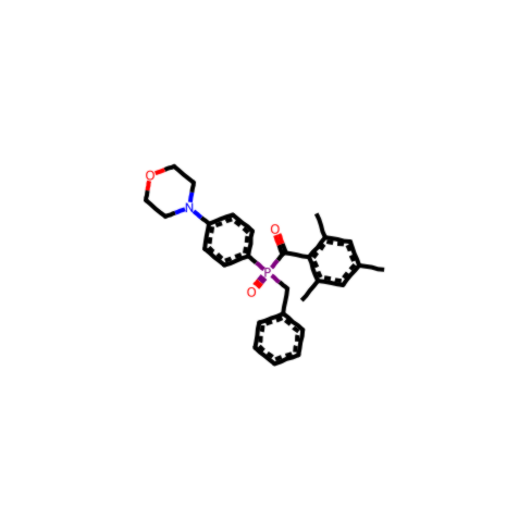 Cc1cc(C)c(C(=O)P(=O)(Cc2ccccc2)c2ccc(N3CCOCC3)cc2)c(C)c1